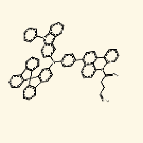 C=CCCC(=C)N1c2ccccc2-c2ccc(-c3ccc(N(c4ccc5c(c4)C4(c6ccccc6-c6ccccc64)c4ccccc4-5)c4ccc5c(c4)c4ccccc4n5-c4ccccc4)cc3)c3cccc1c23